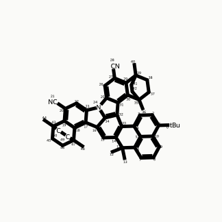 CC(C)(C)c1ccc2c3c(cccc13)C(C)(C)c1cc3c4c5c(c(C#N)cc4n4c6cc(C#N)c7c(c6c(c1-2)c34)C1(C)CCC7(C)CC1)C1(C)CCC5(C)CC1